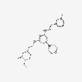 C=C1CN(CCOc2cc(N3CCOCC3)cc(N/N=C/c3cccc(C)c3)n2)CCN1CC